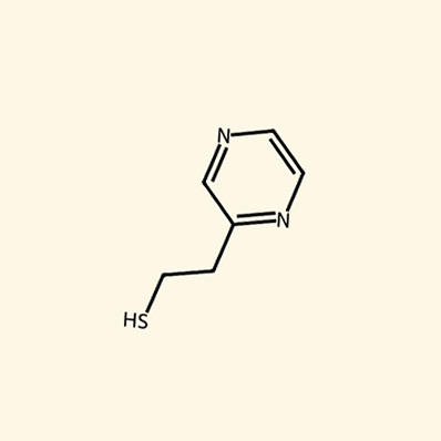 SCCc1cnccn1